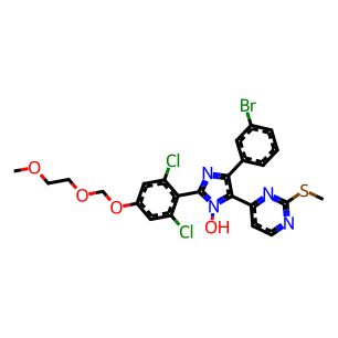 COCCOCOc1cc(Cl)c(-c2nc(-c3cccc(Br)c3)c(-c3ccnc(SC)n3)n2O)c(Cl)c1